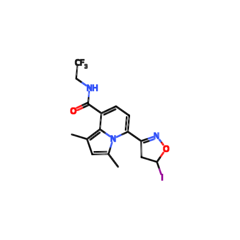 Cc1cc(C)n2c(C3=NOC(I)C3)ccc(C(=O)NCC(F)(F)F)c12